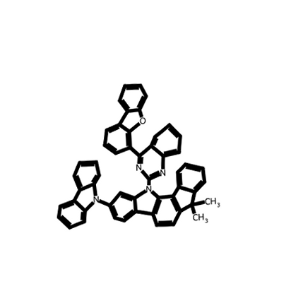 CC1(C)c2ccccc2-c2c1ccc1c3ccc(-n4c5ccccc5c5ccccc54)cc3n(-c3nc(-c4cccc5c4oc4ccccc45)c4ccccc4n3)c21